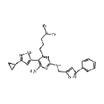 CCN(CC)CCCc1nc(NCc2cc(-c3ccccc3)no2)nc(N)c1-c1cc(C2CC2)n[nH]1